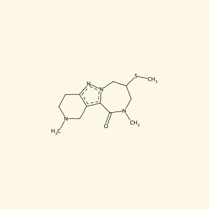 CSC1CN(C)C(=O)c2c3c(nn2C1)CCN(C)C3